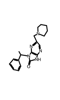 CC(c1ccccc1)n1c(=O)[nH]c2ncc(CN3CCCCC3)nc21